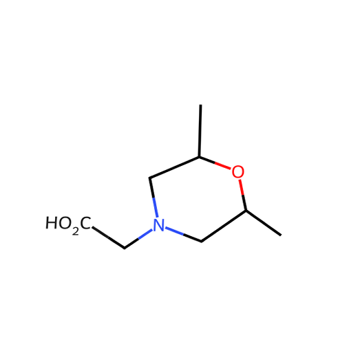 CC1CN(CC(=O)O)CC(C)O1